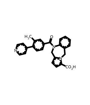 Cc1cc(C(=O)N2Cc3ccc(C(=O)O)n3Cc3ccccc32)ccc1-c1ccncc1